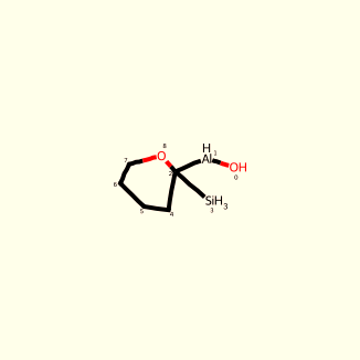 [OH][AlH][C]1([SiH3])CCCCO1